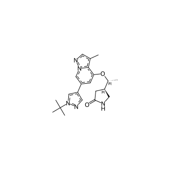 Cc1cnn2cc(-c3cnn(C(C)(C)C)c3)cc(O[C@H](C)[C@H]3CNC(=O)C3)c12